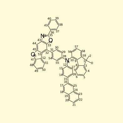 CC1(C)c2ccccc2-c2c(N(c3ccc(-c4ccc5ccccc5c4)cc3)c3ccc(-c4c5oc(-c6ccccc6)nc5cc5oc6ccccc6c45)cc3)cccc21